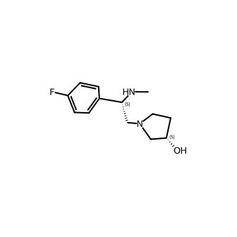 CN[C@H](CN1CC[C@H](O)C1)c1ccc(F)cc1